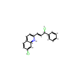 Clc1ccc2ccc(C=CC(Cl)c3ccccc3)nc2c1